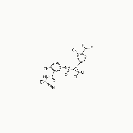 N#CC1(NC(=O)c2cc(NC(=O)[C@@H]3[C@@H](c4ccc(C(F)F)c(Cl)c4)C3(Cl)Cl)ccc2Cl)CC1